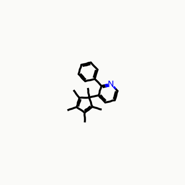 CC1=C(C)C(C)(c2cccnc2-c2ccccc2)C(C)=C1C